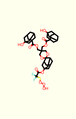 O=C(OCC1(COC(=O)C23CC4CC(CC(O)(C4)C2)C3)COC2(OC1)C1CC3CC2CC(OC(=O)C(F)(F)SOOO)(C3)C1)C12CC3CC(CC(O)(C3)C1)C2